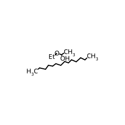 CCCCCCCCCCCCCC.CCOC(C)O